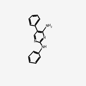 Nc1nc(Nc2ccccc2)ncc1-c1ccccc1